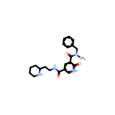 CN(Cc1ccccc1)C(=O)c1cc(C(=O)NCCC2CCCCN2)c[nH]c1=O